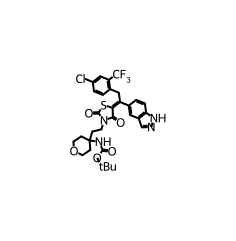 CC(C)(C)OC(=O)NC1(CCN2C(=O)SC(=C(Cc3ccc(Cl)cc3C(F)(F)F)c3ccc4[nH]ncc4c3)C2=O)CCOCC1